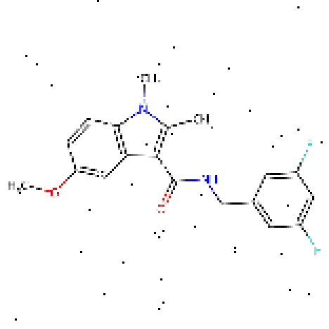 COc1ccc2c(c1)c(C(=O)NCc1cc(F)cc(F)c1)c(C)n2C